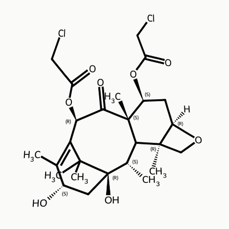 CC1=C2[C@@H](OC(=O)CCl)C(=O)[C@@]3(C)C([C@H](C)[C@](O)(C[C@@H]1O)C2(C)C)[C@]1(C)CO[C@@H]1C[C@@H]3OC(=O)CCl